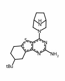 CC(C)(C)C1CCc2sc3c(N4CC5CCC(C4)N5)nc(N)nc3c2C1